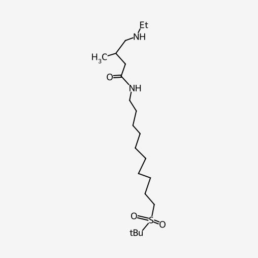 CCNCC(C)CC(=O)NCCCCCCCCCCS(=O)(=O)C(C)(C)C